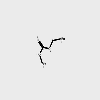 C[CH]COC(=O)OCC(C)(C)C